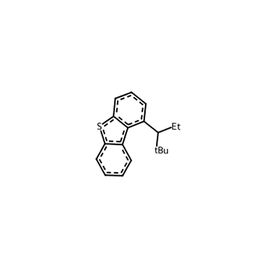 CCC(c1cccc2sc3ccccc3c12)C(C)(C)C